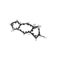 Ic1cc2cc3sccc3cc2s1